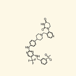 CS(=O)(=O)c1cccc(CNc2nc(Nc3ccc(C4CCN(Cc5ccncc5N5CCC(=O)NC5=O)CC4)cc3)ncc2C(F)(F)F)c1